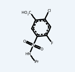 CC(C)NS(=O)(=O)c1cc(C(=O)O)c(Cl)cc1F